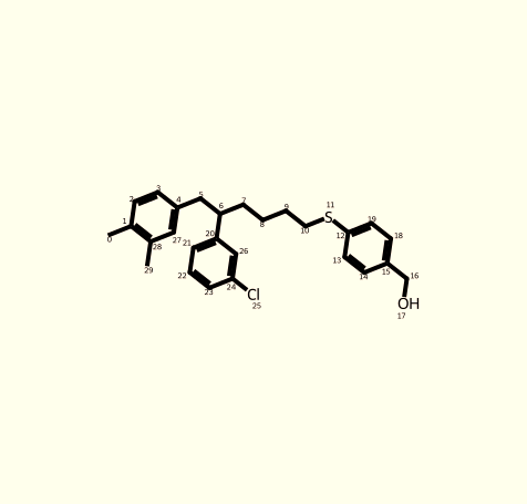 Cc1ccc(CC(CCCCSc2ccc(CO)cc2)c2cccc(Cl)c2)cc1C